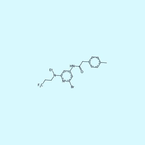 CCN(CCC(F)(F)F)c1cc(NC(=O)Cc2ccc(C)cc2)cc(Br)n1